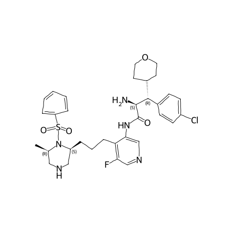 C[C@@H]1CNC[C@H](CCCc2c(F)cncc2NC(=O)[C@@H](N)[C@@H](c2ccc(Cl)cc2)C2CCOCC2)N1S(=O)(=O)c1ccccc1